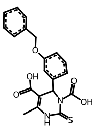 CC1=C(C(=O)O)C(c2cccc(OCc3ccccc3)c2)N(C(=O)O)C(=S)N1